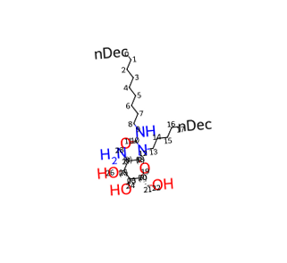 CCCCCCCCCCCCCCCCCCNC(=O)N(CCCCCCCCCCCCCC)[C@@H]1O[C@H](CO)[C@H](O)[C@H](O)[C@H]1N